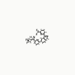 N[C@H](c1cccc(-c2ccc3cnn(-c4cccc(C(F)F)n4)c3c2)n1)C1CC(F)(F)C1